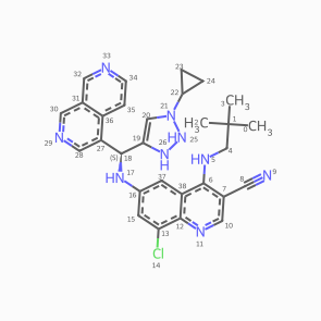 CC(C)(C)CNc1c(C#N)cnc2c(Cl)cc(N[C@H](C3=CN(C4CC4)NN3)c3cncc4cnccc34)cc12